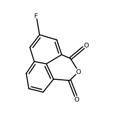 O=C1OC(=O)c2cc(F)cc3cccc1c23